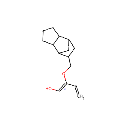 C=C/C(=C/O)OCC1CC2CC1C1CCCC21